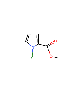 COC(=O)c1cccn1Cl